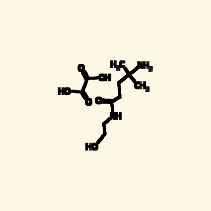 CC(C)(N)CCC(=O)NCCO.O=C(O)C(=O)O